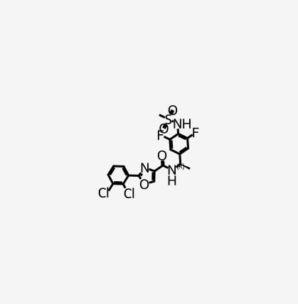 C[C@@H](NC(=O)c1coc(-c2cccc(Cl)c2Cl)n1)c1cc(F)c(NS(C)(=O)=O)c(F)c1